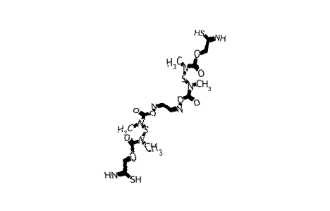 CN(SN(C)C(=O)O/N=C\C=N/OC(=O)N(C)SN(C)C(=O)OCC(=N)S)C(=O)OCC(=N)S